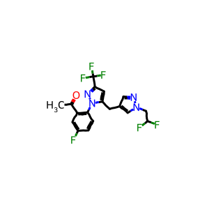 CC(=O)c1cc(F)ccc1-n1nc(C(F)(F)F)cc1Cc1cnn(CC(F)F)c1